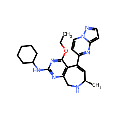 CCOc1nc(NC2CCCCC2)nc2c1C(c1ccn3nccc3n1)=C[C@@H](C)NC2